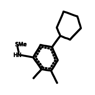 CSNc1cc(C2CCCCC2)cc(C)c1C